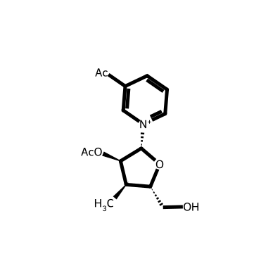 CC(=O)O[C@@H]1[C@H](C)[C@@H](CO)O[C@H]1[n+]1cccc(C(C)=O)c1